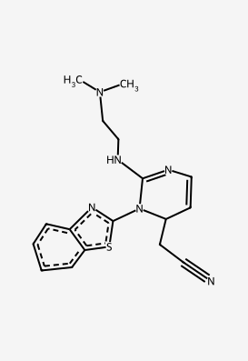 CN(C)CCNC1=NC=CC(CC#N)N1c1nc2ccccc2s1